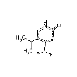 CC(C)c1c[nH]c(=O)cc1C(F)F